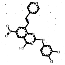 O=[N+]([O-])c1cc(/C=C/c2ccncc2)c2nc(Nc3ccc(Cl)c(Cl)c3)nc(O)c2c1